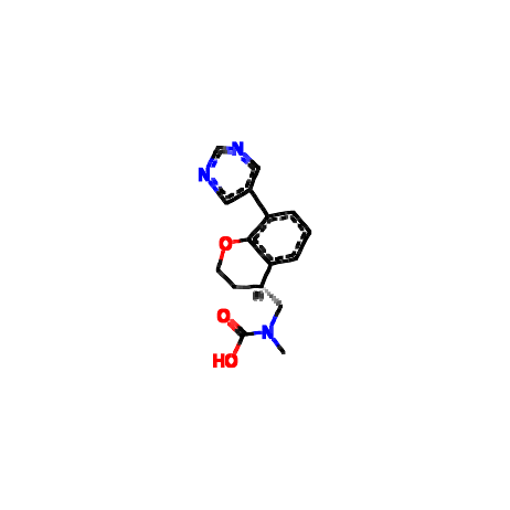 CN(C[C@@H]1CCOc2c(-c3cncnc3)cccc21)C(=O)O